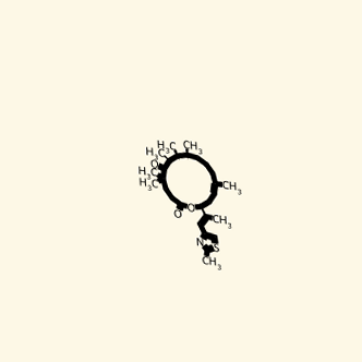 C/C1=C/C[C@@H](/C(C)=C/c2csc(C)n2)OC(=O)CCC(C)(C)C(=O)[C@H](C)[C@@H](C)[C@@H](C)CCC1